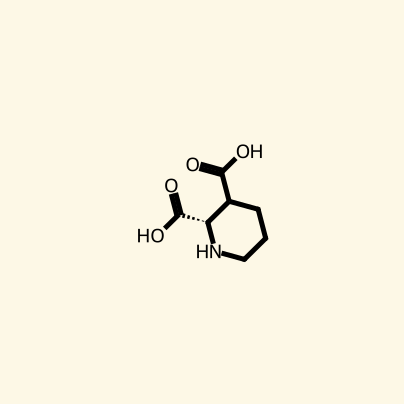 O=C(O)C1CCCN[C@@H]1C(=O)O